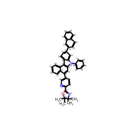 CC1(C)N=C(c2ccc(-c3cc4c(c5ccccc35)c3ccc(-c5ccc6ccccc6c5)cc3n4-c3ccccc3)cn2)OC1(C)C